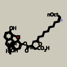 CCCCCCCC/C=C\CCCCCCCC(=O)C[C@@H](CC(=O)O)C(=O)OC1=CC[C@]2(O)[C@@H]3Cc4ccc(O)c5c4[C@]2(CCN3C)[C@@H]1O5